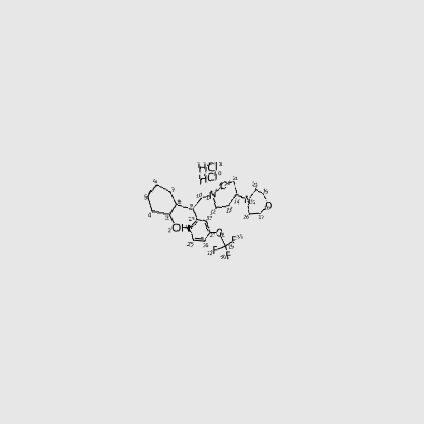 Cl.Cl.OC1CCCCC1C(CN1CCC(N2CCOCC2)CC1)c1cccc(OC(F)(F)F)c1